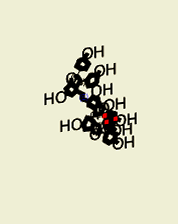 Oc1ccc([C@H]2Oc3cc(O)cc(/C=C/c4ccc5c(c4)[C@@H](c4cc(O)cc6c4[C@H](c4cc(O)cc(O)c4)[C@@H](c4ccc(O)cc4)O6)[C@H](c4ccc(O)cc4)O5)c3[C@@H]2c2cc(O)cc(O)c2)cc1